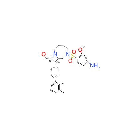 COC[C@@H]1[C@@H](c2ccc(-c3cccc(C)c3C)cc2)C2CN(S(=O)(=O)c3ccc(N)cc3OC)CCCCN21